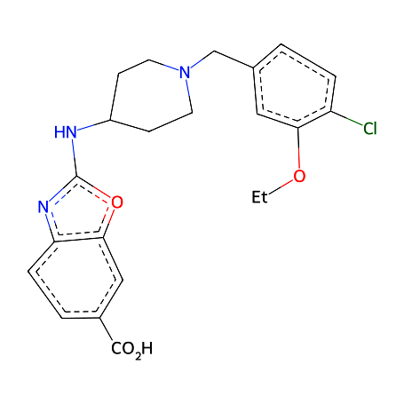 CCOc1cc(CN2CCC(Nc3nc4ccc(C(=O)O)cc4o3)CC2)ccc1Cl